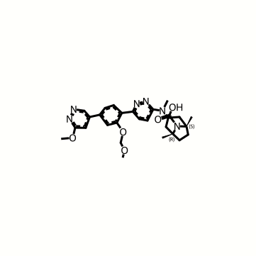 COCOc1cc(-c2cnnc(OC)c2)ccc1-c1ccc(N(C)[C@H]2C[C@]3(C)CC[C@](C)(C2)N3C(=O)O)nn1